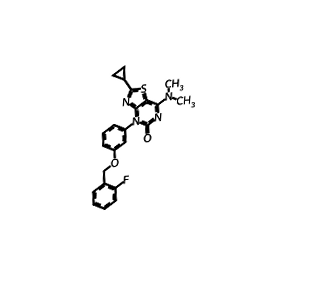 CN(C)c1nc(=O)n(-c2cccc(OCc3ccccc3F)c2)c2nc(C3CC3)sc12